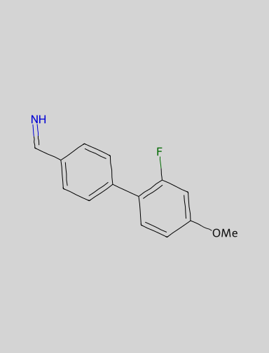 COc1ccc(-c2ccc(C=N)cc2)c(F)c1